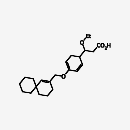 CCOC(CC(=O)O)C1C=CC(OCC2=CC3(CCCCC3)CCC2)=CC1